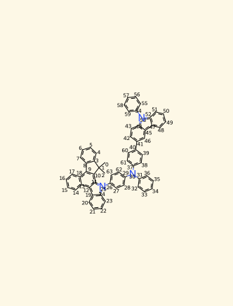 CC1(C)c2ccccc2-c2c1c1c(c3ccccc23)c2ccccc2n1-c1ccc(N(c2ccccc2)c2ccc(-c3ccc4c(c3)c3ccccc3n4-c3ccccc3)cc2)cc1